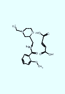 CCN1CCOC(CNC(=O)c2ccccc2OC)C1.O=C(O)C=CC(=O)O